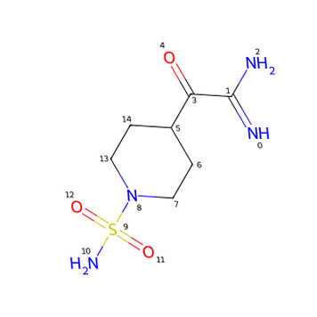 N=C(N)C(=O)C1CCN(S(N)(=O)=O)CC1